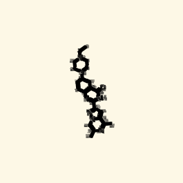 CCN1CCN(c2ccc3nc(-c4cc5c(C)nc(C)cn5n4)[nH]c(=O)c3c2)CC1